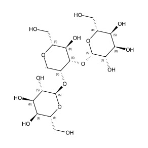 OC[C@H]1O[C@@H](O[C@H]2[C@H](O)[C@@H](CO)O[CH][C@H]2O[C@H]2O[C@H](CO)[C@@H](O)[C@@H](O)[C@@H]2O)[C@@H](O)[C@H](O)[C@@H]1O